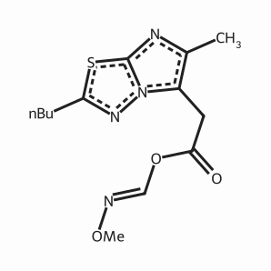 CCCCc1nn2c(CC(=O)OC=NOC)c(C)nc2s1